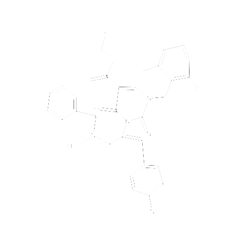 CCOC(=O)c1cn(Cc2c(F)cccc2F)c2nc(-c3ccc(N)cc3)c(CN(C)Cc3ccccc3)n2c1=O